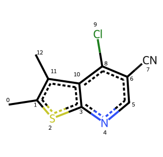 Cc1sc2ncc(C#N)c(Cl)c2c1C